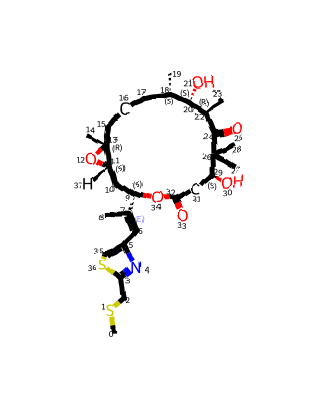 CSCc1nc(/C=C(\C)[C@@H]2C[C@@H]3O[C@]3(C)CCC[C@H](C)[C@H](O)[C@@H](C)C(=O)C(C)(C)[C@@H](O)CC(=O)O2)cs1